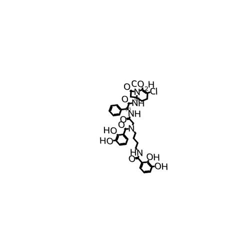 O=C(CN(CCCCNC(=O)c1cccc(O)c1O)C(=O)c1cccc(O)c1O)N[C@@H](C(=O)N[C@@]12CCC(Cl)=C(C(=O)O)N1C(=O)C2)c1ccccc1